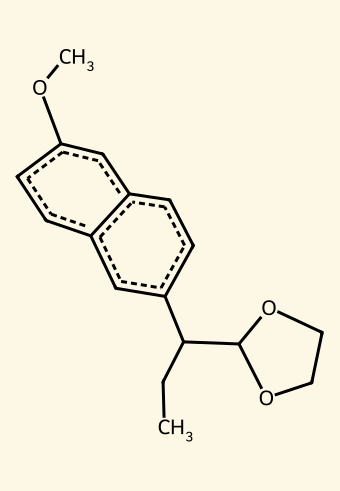 CCC(c1ccc2cc(OC)ccc2c1)C1OCCO1